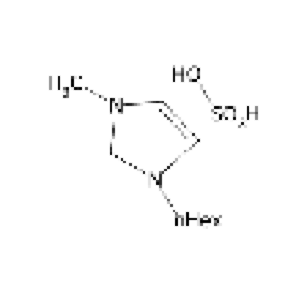 CCCCCCN1C=CN(C)C1.O=S(=O)(O)O